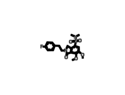 COc1cc(S(=O)(=O)N(C)C)c2c(c1OC)C(=O)N(CCc1ccc(F)cc1)C2